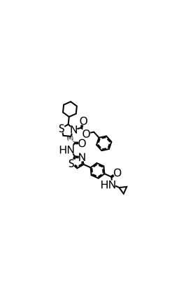 O=C(NC1CC1)c1ccc(-c2csc(NC(=O)[C@@H]3CSC(C4CCCCC4)N3C(=O)OCc3ccccc3)n2)cc1